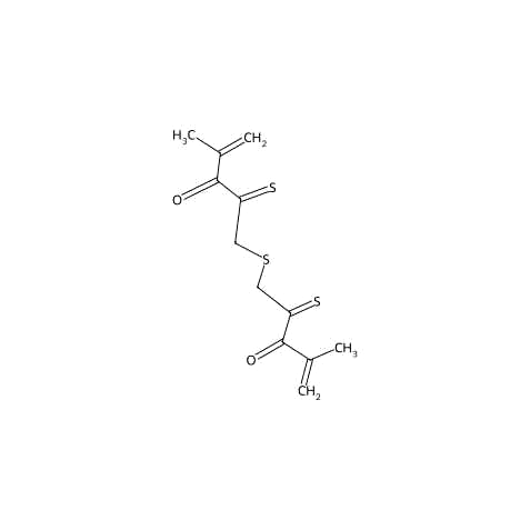 C=C(C)C(=O)C(=S)CSCC(=S)C(=O)C(=C)C